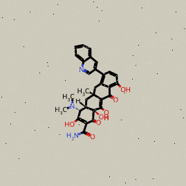 CN(C)[C@H]1C(O)=C(C(N)=O)C(=O)[C@@]2(O)C(O)=C3C(=O)c4c(O)ccc(-c5cnc6ccccc6c5)c4C[C@@]3(C)C[C@@H]12